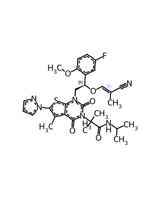 COc1ccc(F)cc1[C@H](Cn1c(=O)n(C(C)(C)C(=O)NC(C)C)c(=O)c2c(C)c(-n3cccn3)sc21)O/C=C(\C)C#N